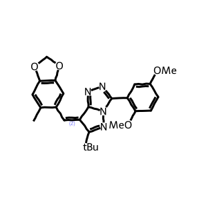 COc1ccc(OC)c(-c2nnc3/c(=C\c4cc5c(cc4C)OCO5)c(C(C)(C)C)nn23)c1